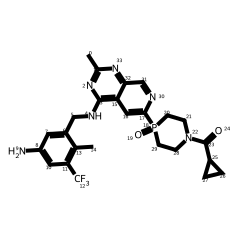 Cc1nc(NCc2cc(N)cc(C(F)(F)F)c2C)c2cc(P3(=O)CCN(C(=O)C4CC4)CC3)ncc2n1